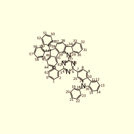 c1ccc(-c2nc(-c3ccc4c5ccccc5n(-c5ccccc5)c4c3)nc(-n3c4ccccc4c4ccc5c(c43)-c3ccccc3C5(c3ccccc3)c3ccccc3)n2)cc1